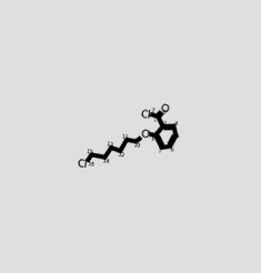 O=C(Cl)c1ccccc1OCCCCCCCl